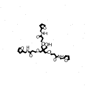 O=C(CCOCC(CO)(COCCC(=O)NCc1ccco1)COCCC(=O)NCc1ccco1)NCc1ccco1